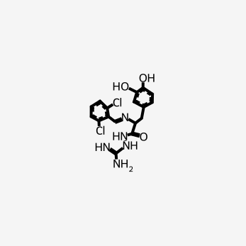 N=C(N)NNC(=O)C(Cc1ccc(O)c(O)c1)N=Cc1c(Cl)cccc1Cl